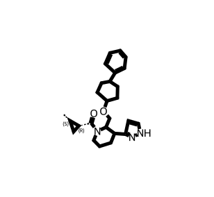 C[C@H]1C[C@H]1C(=O)N1CCCC(c2cc[nH]n2)C1COC1CCC(c2ccccc2)CC1